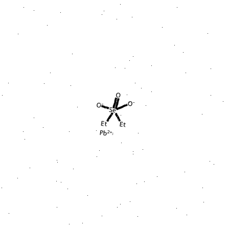 CC[Se](=O)([O-])([O-])CC.[Pb+2]